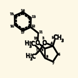 CC1(C)OC2(C)CCC1C2OCc1ccccc1